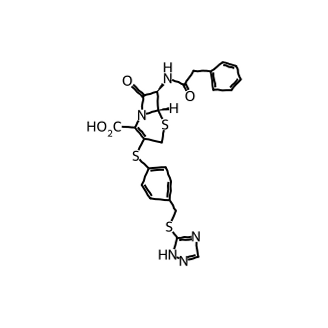 O=C(Cc1ccccc1)N[C@@H]1C(=O)N2C(C(=O)O)=C(Sc3ccc(CSc4ncn[nH]4)cc3)CS[C@@H]12